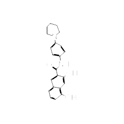 O=C(Nc1ccc(N2CCCCC2)cc1)c1cc2cccc(O)c2cc1O